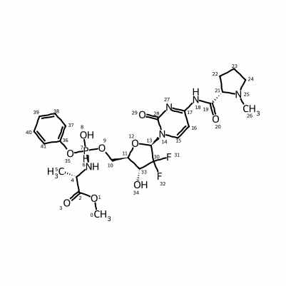 COC(=O)[C@H](C)N[PH](O)(OC[C@H]1O[C@@H](n2ccc(NC(=O)[C@@H]3CCCN3C)nc2=O)C(F)(F)[C@@H]1O)Oc1ccccc1